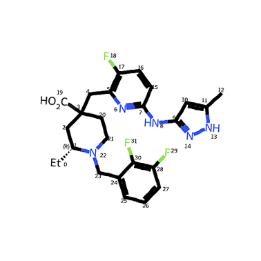 CC[C@@H]1CC(Cc2nc(Nc3cc(C)[nH]n3)ccc2F)(C(=O)O)CCN1Cc1cccc(F)c1F